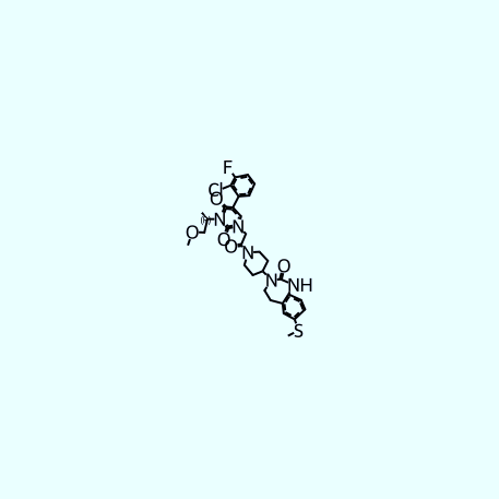 COC[C@@H](C)n1c(=O)c(-c2cccc(F)c2Cl)cn(CC(=O)N2CCC(N3CCc4cc(SC)ccc4NC3=O)CC2)c1=O